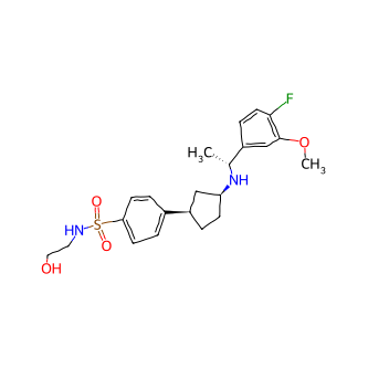 COc1cc([C@@H](C)N[C@H]2CC[C@@H](c3ccc(S(=O)(=O)NCCO)cc3)C2)ccc1F